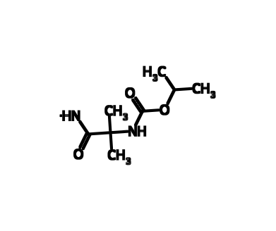 CC(C)OC(=O)NC(C)(C)C([NH])=O